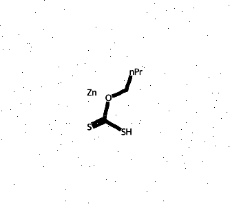 CCCCOC(=S)S.[Zn]